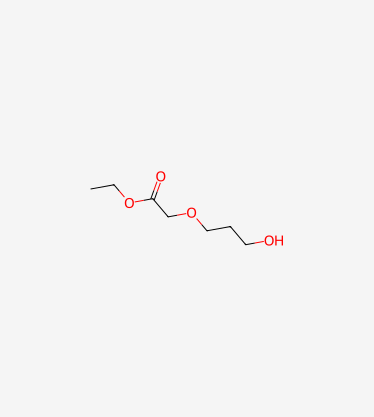 CCOC(=O)COCCCO